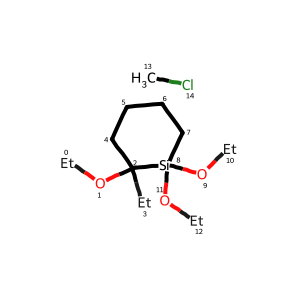 CCOC1(CC)CCCC[Si]1(OCC)OCC.CCl